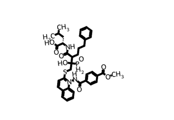 COC(=O)c1ccc(C(=O)N[n+]2c(SCC(O)([PH2]=O)C(CCCc3ccccc3)C(=O)N[C@@H](CC(C)C)C(=O)O)ccc3ccccc32)cc1